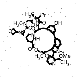 CCn1c(-c2cccnc2[C@H](C)OC)c2c3cc(ccc31)-c1cc(O)cc(c1)C[C@H](NC(=O)C(C(C)C)N(C)C(=O)CN(C)C(=O)[C@@H]1CN1C1COC1)C(=O)N1CCC[C@H](N1)C(=O)OCC(C)(C)C2